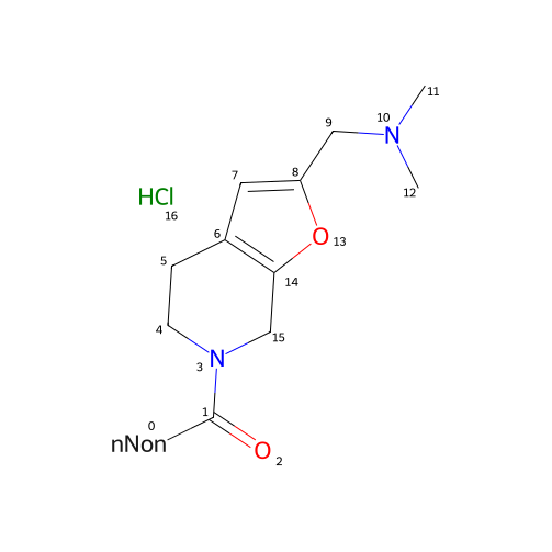 CCCCCCCCCC(=O)N1CCc2cc(CN(C)C)oc2C1.Cl